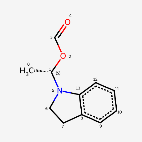 C[C@H](OC=O)N1CCc2ccccc21